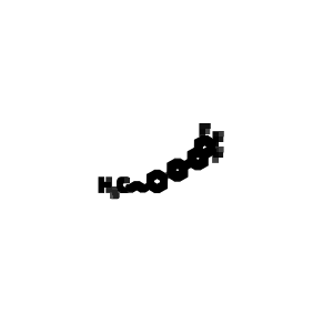 CCCC[C@H]1CC[C@H](c2ccc(-c3ccc4c(F)c(F)c(F)cc4c3)cc2)CC1